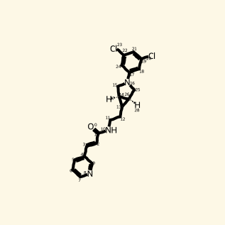 O=C(/C=C/c1cccnc1)NCCC1[C@H]2CN(c3cc(Cl)cc(Cl)c3)C[C@@H]12